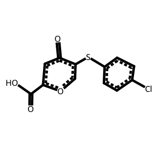 O=C(O)c1cc(=O)c(Sc2ccc(Cl)cc2)co1